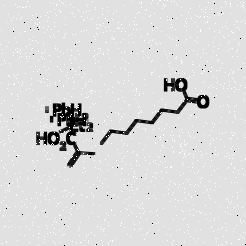 C=C(C)C(=O)O.CCC.CCCCCCCC(=O)O.[PbH2].[PbH2]